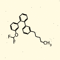 CCCCCc1cccc(-c2ccccc2-c2cccc(OC(F)F)c2)c1